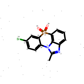 Cc1nc2cccc3c2n1-c1ccc(Br)cc1S3(=O)=O